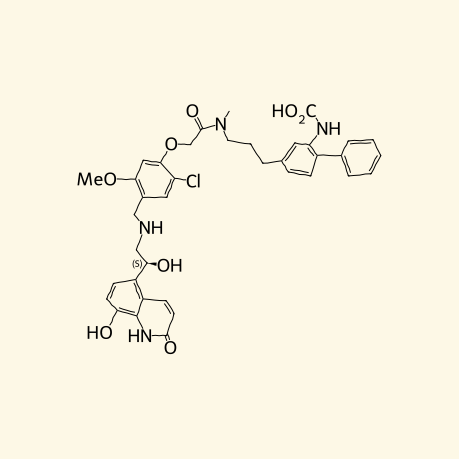 COc1cc(OCC(=O)N(C)CCCc2ccc(-c3ccccc3)c(NC(=O)O)c2)c(Cl)cc1CNC[C@@H](O)c1ccc(O)c2[nH]c(=O)ccc12